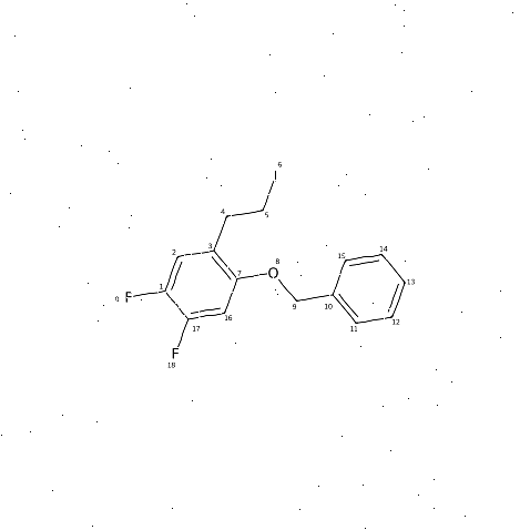 Fc1cc(CCI)c(OCc2ccccc2)cc1F